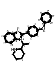 CC(C1CCCCN1)n1c(-c2ccc(Oc3ccccc3)cc2)nc2ccccc21